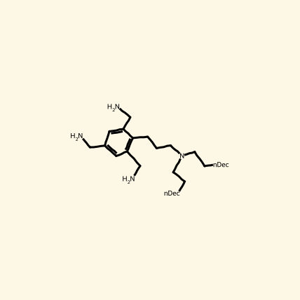 CCCCCCCCCCCCN(CCCCCCCCCCCC)CCCc1c(CN)cc(CN)cc1CN